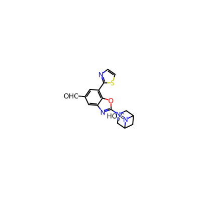 O=Cc1cc(-c2nccs2)c2oc(N3CC4CC(C3)N4C(=O)O)nc2c1